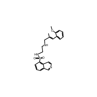 COc1ccccc1C=C(C)CNCCNS(=O)(=O)c1cccc2cnccc12